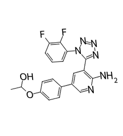 CC(O)Oc1ccc(-c2cnc(N)c(-c3nnnn3-c3cccc(F)c3F)c2)cc1